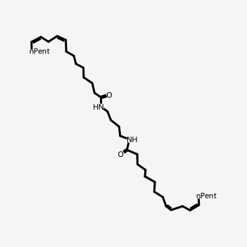 CCCCC/C=C\C/C=C\CCCCCCCC(=O)NCCCCNC(=O)CCCCCCC/C=C\C/C=C\CCCCC